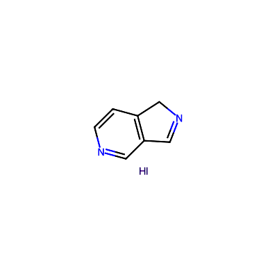 C1=NCc2ccncc21.I